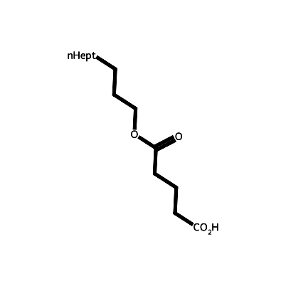 CCCCCCCCCCOC(=O)CCCC(=O)O